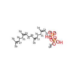 C=COP(=O)(O)OP(=O)(O)OCC=C(C)CCC=C(C)CCC=C(C)CCC=C(C)C